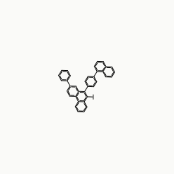 Ic1c(-c2ccc(-c3cccc4ccccc34)cc2)c2cc(-c3ccccc3)ccc2c2ccccc12